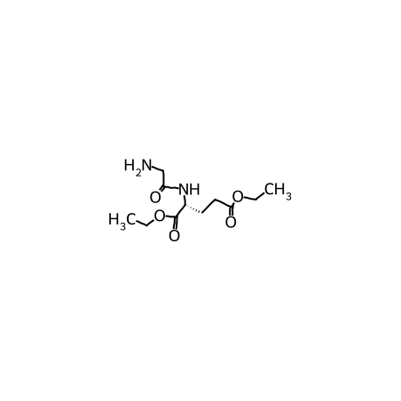 CCOC(=O)CC[C@@H](NC(=O)CN)C(=O)OCC